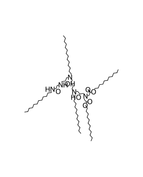 CCCCCCCCCCCCCCN(CCCCN(CCCCCCCCCCCCCC)CC(O)CN(CC(=O)OCCCCCCCCCCC)CC(=O)OCCCCCCCCCCCC)CC(O)CNCC(=O)NCCCCCCCCCCCC